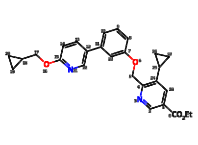 CCOC(=O)c1cnc(COc2cccc(-c3ccc(OCC4CC4)nc3)c2)c(C2CC2)c1